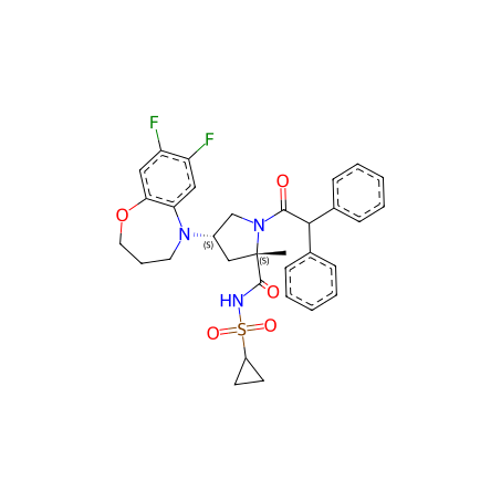 C[C@@]1(C(=O)NS(=O)(=O)C2CC2)C[C@H](N2CCCOc3cc(F)c(F)cc32)CN1C(=O)C(c1ccccc1)c1ccccc1